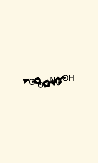 OCc1ccn2cc(-c3ccc(Oc4cccc(OCC5CC5)c4)cc3)nc2c1